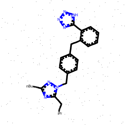 CCCCc1nc(CC(C)C)n(Cc2ccc(Cc3ccccc3-c3nnn[nH]3)cc2)n1